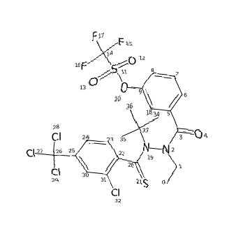 CCN(C(=O)c1cccc(OS(=O)(=O)C(F)(F)F)c1)N(C(=S)c1ccc(C(Cl)(Cl)Cl)cc1Cl)C(C)(C)C